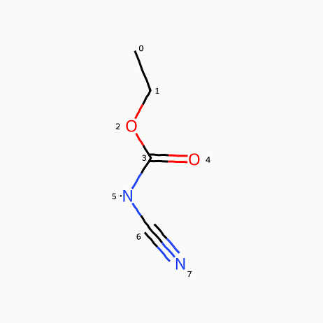 CCOC(=O)[N]C#N